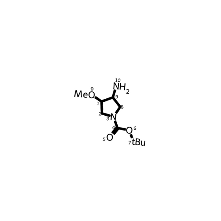 COC1CN(C(=O)OC(C)(C)C)CC1N